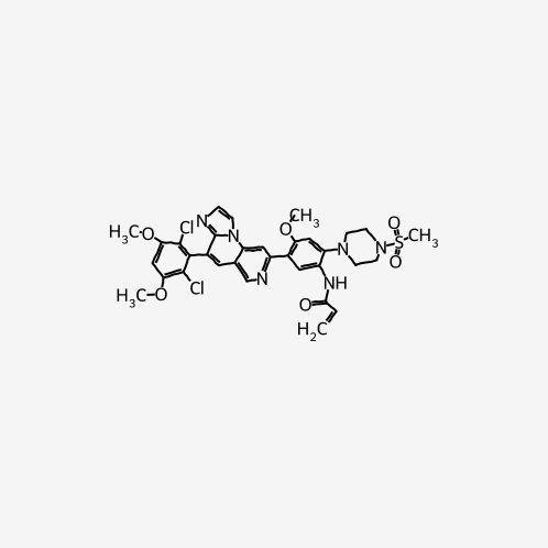 C=CC(=O)Nc1cc(-c2cc3c(cn2)cc(-c2c(Cl)c(OC)cc(OC)c2Cl)c2nccn23)c(OC)cc1N1CCN(S(C)(=O)=O)CC1